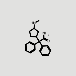 CNC1CCC(C(C(N)=O)(c2ccccc2)c2ccccc2)C1